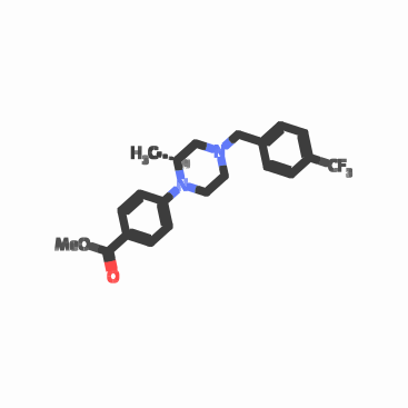 COC(=O)c1ccc(N2CCN(Cc3ccc(C(F)(F)F)cc3)C[C@H]2C)cc1